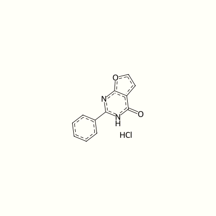 Cl.O=c1[nH]c(-c2ccccc2)nc2occc12